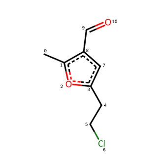 Cc1oc(CCCl)cc1C=O